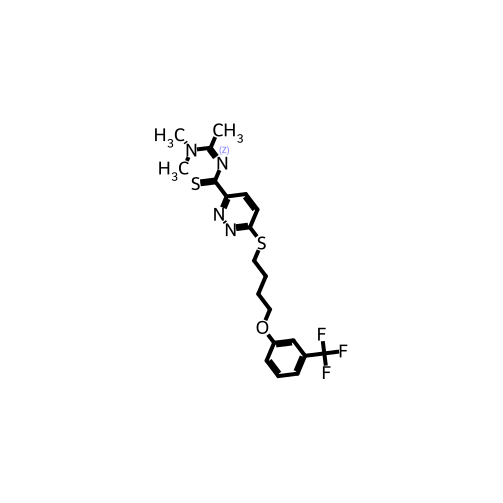 C/C(=N/C(=S)c1ccc(SCCCCOc2cccc(C(F)(F)F)c2)nn1)N(C)C